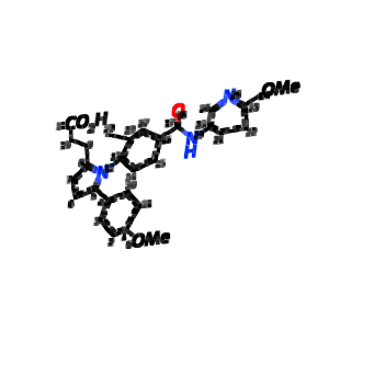 COc1ccc(-c2ccc(CCC(=O)O)n2-c2ccc(C(=O)Nc3ccc(OC)nc3)cc2C)cc1